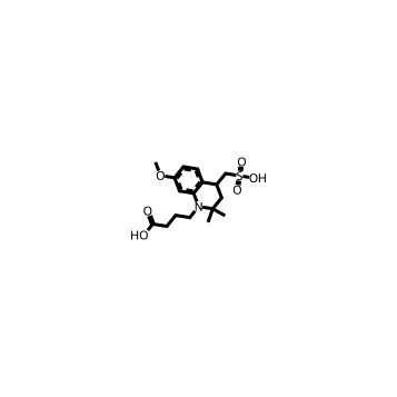 COc1ccc2c(c1)N(CCCC(=O)O)C(C)(C)CC2CS(=O)(=O)O